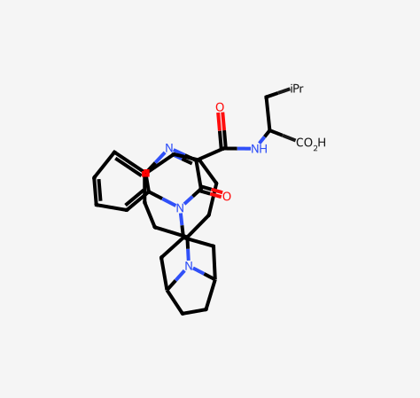 CC(C)CC(NC(=O)c1nc2ccccc2n(C2CC3CCC(C2)N3C2CCCCCCC2)c1=O)C(=O)O